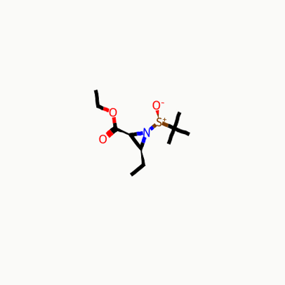 CCOC(=O)[C@@H]1[C@H](CC)N1[S@@+]([O-])C(C)(C)C